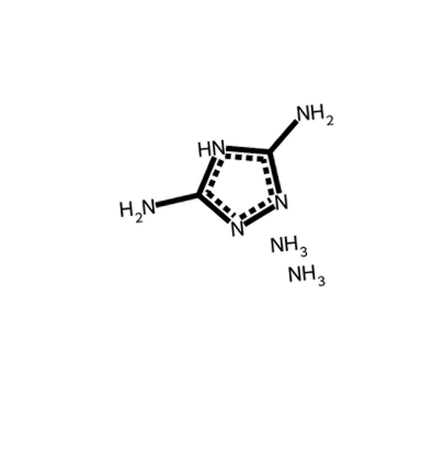 N.N.Nc1nnc(N)[nH]1